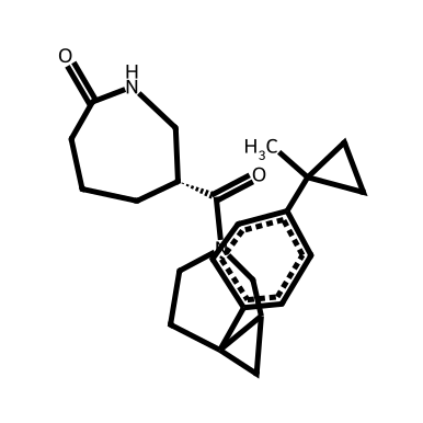 CC1(c2ccc(C34CCN(C(=O)[C@@H]5CCCC(=O)NC5)CC3C4)cc2)CC1